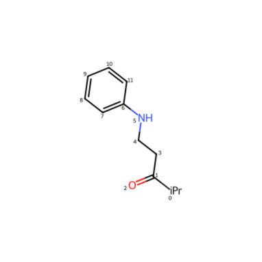 CC(C)C(=O)CCNc1ccccc1